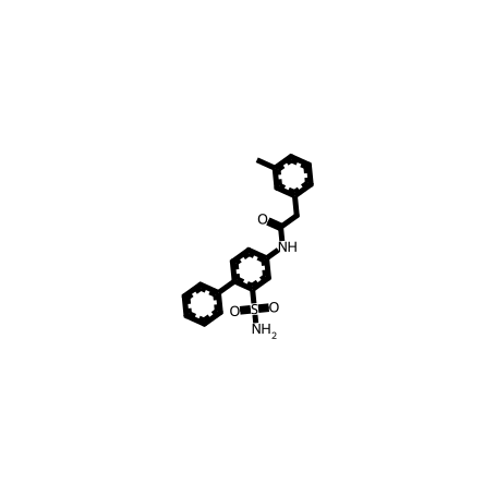 Cc1cccc(CC(=O)Nc2ccc(-c3ccccc3)c(S(N)(=O)=O)c2)c1